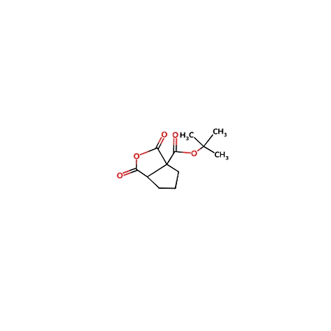 CC(C)(C)OC(=O)C12CCCC1C(=O)OC2=O